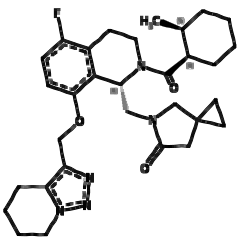 C[C@H]1CCCC[C@H]1C(=O)N1CCc2c(F)ccc(OCc3nnn4c3CCCC4)c2[C@H]1CN1CC2(CC2)CC1=O